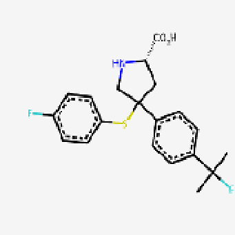 CC(C)(F)c1ccc(C2(Sc3ccc(F)cc3)CN[C@H](C(=O)O)C2)cc1